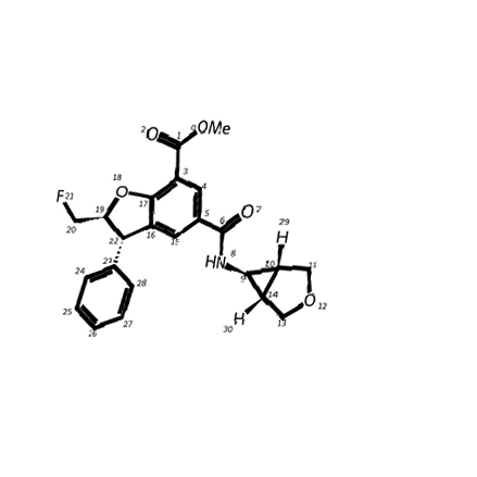 COC(=O)c1cc(C(=O)N[C@H]2[C@@H]3COC[C@@H]32)cc2c1O[C@H](CF)[C@H]2c1ccccc1